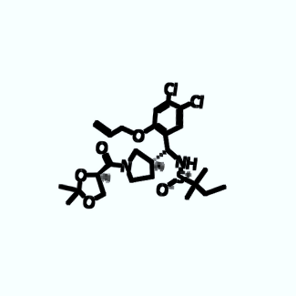 C=CCOc1cc(Cl)c(Cl)cc1C(N[S+]([O-])C(C)(C)CC)[C@@H]1CCN(C(=O)[C@H]2COC(C)(C)O2)C1